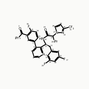 CC(C)C(=O)c1cc(-c2cccnc2[C@H](Cc2cc(F)cc(F)c2)NC(=O)C(C(C)C)n2ccc(C(F)(F)F)n2)ccc1F